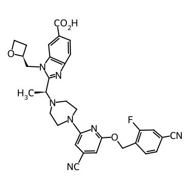 C[C@@H](c1nc2ccc(C(=O)O)cc2n1C[C@@H]1CCO1)N1CCN(c2cc(C#N)cc(OCc3ccc(C#N)cc3F)n2)CC1